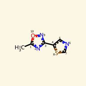 Cc1nc(-c2cncs2)no1